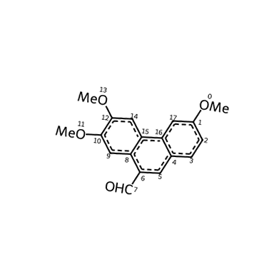 COc1ccc2cc(C=O)c3cc(OC)c(OC)cc3c2c1